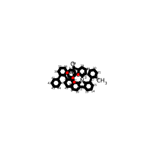 Cc1ccccc1-c1cccc2c3cccc(-c4ccccc4C)c3n(-c3cccc4c3C(=O)N(c3cccc(-c5ccccc5)c3-c3ccccc3)C4=O)c12